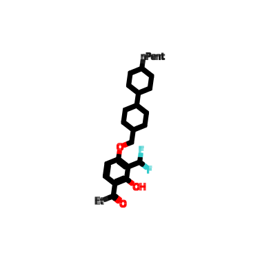 CCCCCC1CCC(C2CCC(COc3ccc(C(=O)CC)c(O)c3C(F)F)CC2)CC1